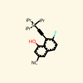 CC(C)[Si](C#Cc1c(F)ccc2cc(C#N)cc(O)c12)(C(C)C)C(C)C